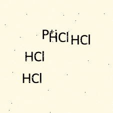 Cl.Cl.Cl.Cl.[P+]